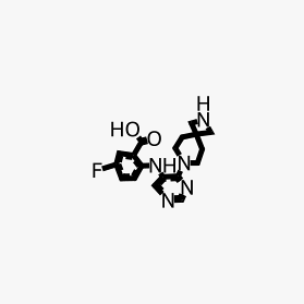 O=C(O)c1cc(F)ccc1Nc1cncnc1N1CCC2(CC1)CNC2